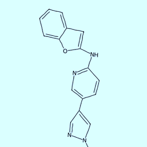 CC(C)n1cc(-c2ccc(Nc3cc4ccccc4o3)nc2)cn1